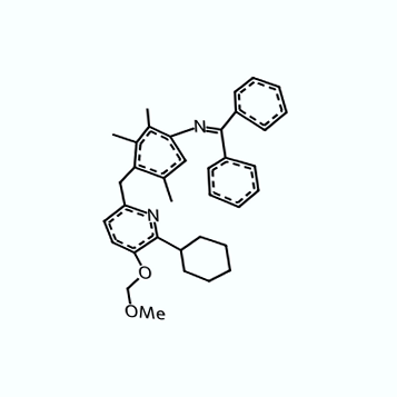 COCOc1ccc(Cc2c(C)cc(N=C(c3ccccc3)c3ccccc3)c(C)c2C)nc1C1CCCCC1